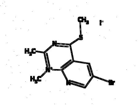 CSc1nc(C)[n+](C)c2ncc(Br)cc12.[I-]